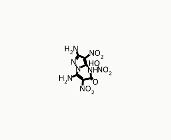 Nc1nn2c(N)c([N+](=O)[O-])c(=O)[nH]c2c1[N+](=O)[O-].O=[N+]([O-])O